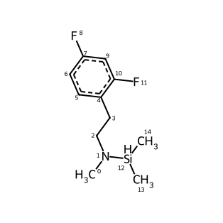 CN(CCc1ccc(F)cc1F)[SiH](C)C